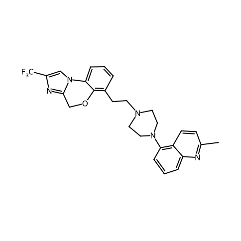 Cc1ccc2c(N3CCN(CCc4cccc5c4OCc4nc(C(F)(F)F)cn4-5)CC3)cccc2n1